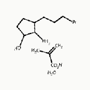 C=C(C)C(=O)O.CC(C)CCCC1CCC(O)C1N.O